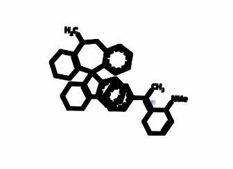 CNC1C=CCC/C1=C(/C)c1ccc(C2=C(C3(c4ccccc4)C4=C(CCCC4)C(C)Cc4ccccc43)CCCC2)cc1